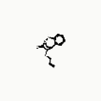 C=CCON1C(=O)N2CC1c1ccccc1N2